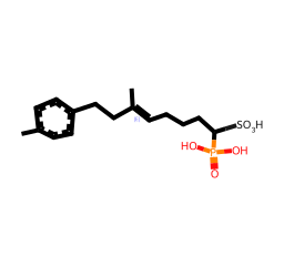 C/C(=C\CCCC(P(=O)(O)O)S(=O)(=O)O)CCc1ccc(C)cc1